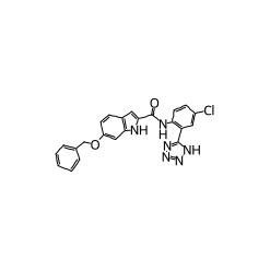 O=C(Nc1ccc(Cl)cc1-c1nnn[nH]1)c1cc2ccc(OCc3ccccc3)cc2[nH]1